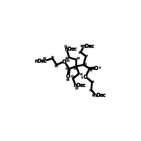 CCCCCCCCCCCCOC(=O)C(CCCCCCCCCCCC)C(CCCCCCCCCCCC)(CCCCCCCCCCCC)C(=O)OCCCCCCCCCCCC